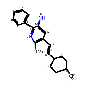 COc1nc(-c2ccccc2)c(N)cc1/C=C/C1CCC(C(F)(F)F)CC1